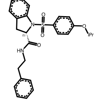 CC(C)Oc1ccc(S(=O)(=O)N2c3ccccc3C[C@H]2C(=O)NCCc2ccccc2)cc1